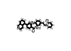 O=C1Nc2cc(CCn3ccccc3=O)ccc2Nc2cc(-c3cccc4cnccc34)ccc21